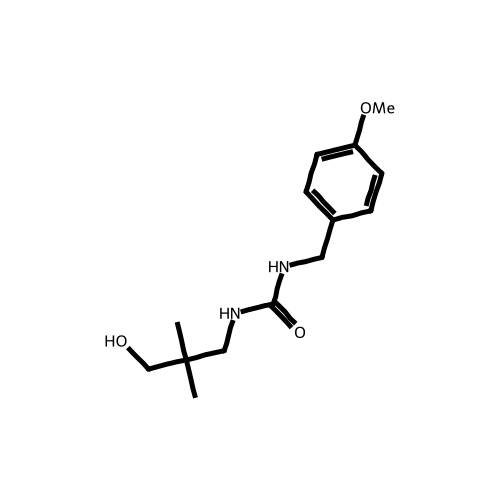 COc1ccc(CNC(=O)NCC(C)(C)CO)cc1